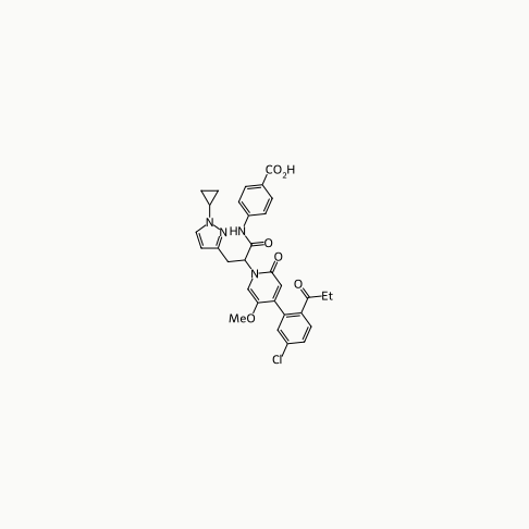 CCC(=O)c1ccc(Cl)cc1-c1cc(=O)n(C(Cc2ccn(C3CC3)n2)C(=O)Nc2ccc(C(=O)O)cc2)cc1OC